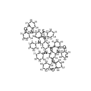 c1ccc(N2c3cc4c(cc3B3c5ccccc5Sc5cc(N6c7ccccc7Oc7ccccc76)cc2c53)B2c3cccc5c3N(c3ccccc3O5)c3cc(N5c6ccccc6Oc6ccccc65)cc(c32)N4c2ccccc2)cc1